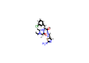 CCN(CC)[C@@H](C)C(=O)N[C@@H](Cc1cccc(Cl)c1)C(=O)NCc1cnc(N)s1